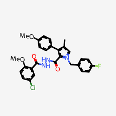 COc1ccc(-c2c(C)cn(Cc3ccc(F)cc3)c2C(=O)NNC(=O)c2cc(Cl)ccc2OC)cc1